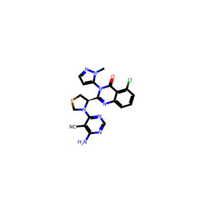 Cn1nccc1-n1c([C@@H]2CSCN2c2ncnc(N)c2C#N)nc2cccc(Cl)c2c1=O